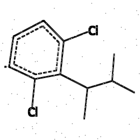 CC(C)C(C)c1c(Cl)[c]ccc1Cl